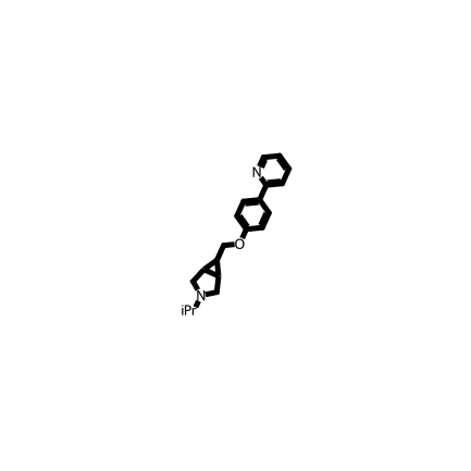 CC(C)N1CC2C(COc3ccc(-c4ccccn4)cc3)C2C1